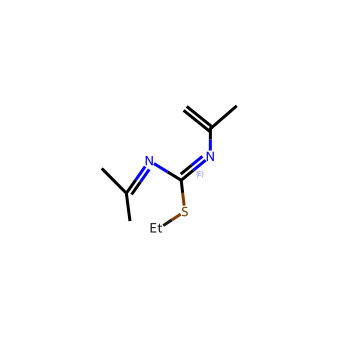 C=C(C)/N=C(\N=C(C)C)SCC